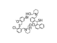 COc1ccc(Br)cc1CSc1c(Cl)cccc1CN1CCCCC1CO.OCC1CCCCN1Cc1cccc(Cl)c1C(S)c1cccc2ccccc12